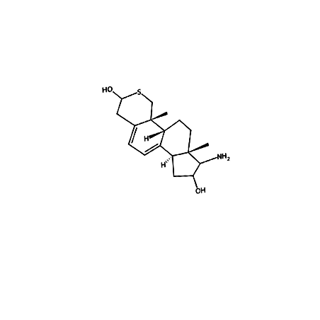 C[C@]12CSC(O)CC1=CC=C1[C@H]2CC[C@]2(C)C(N)C(O)C[C@@H]12